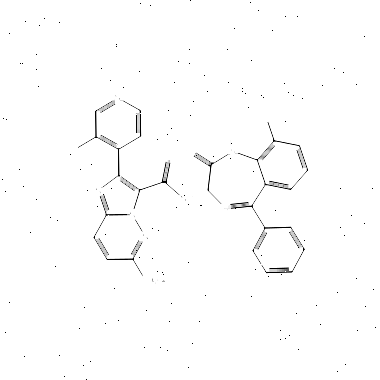 COc1ccc2nc(-c3ccncc3F)c(C(=O)N[C@H]3N=C(c4ccccc4)c4cccc(F)c4NC3=O)n2n1